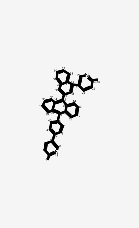 Cc1ccc(-c2ccc(-c3c4ccccc4c(-c4cc(-c5ccc(C)nc5)c5ccccc5c4)c4ccccc34)cc2)cn1